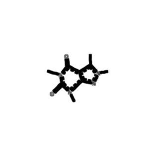 Cc1c2c(=O)n(C)c(=O)n(C)c2nn1C